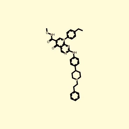 CCc1ccc(-n2cc(C(=O)NOC)c(=O)c3cnc(Nc4ccc(C5CCN(CCc6ccccc6)CC5)cc4)nc32)cc1